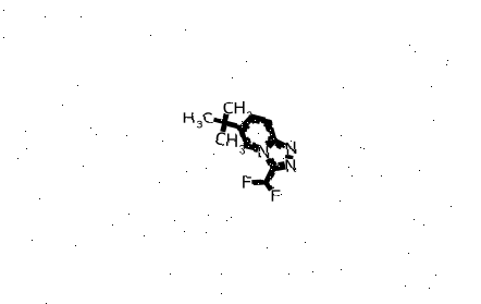 CC(C)(C)c1ccc2nnc(C(F)F)n2c1